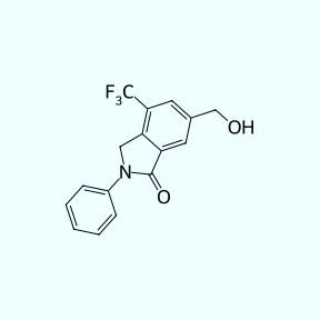 O=C1c2cc(CO)cc(C(F)(F)F)c2CN1c1ccccc1